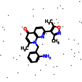 Cc1noc(C)c1-c1ccc2c(=O)cc(C)n(Cc3ccccc3N)c2n1